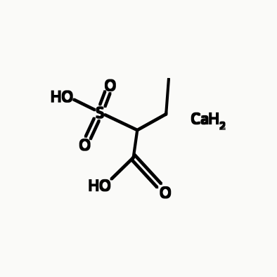 CCC(C(=O)O)S(=O)(=O)O.[CaH2]